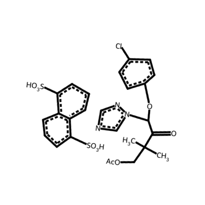 CC(=O)OCC(C)(C)C(=O)C(Oc1ccc(Cl)cc1)n1cncn1.O=S(=O)(O)c1cccc2c(S(=O)(=O)O)cccc12